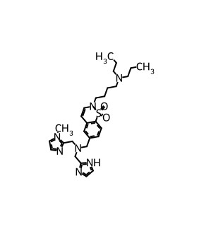 CCCN(CCC)CCCCN1C=Cc2cc(CN(Cc3ncc[nH]3)Cc3nccn3C)ccc2S1(=O)=O